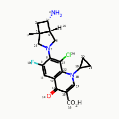 C[C@@]12C[C@H](N)[C@@H]1CN(c1c(F)cc3c(=O)c(C(=O)O)cn(C4CC4)c3c1Cl)C2